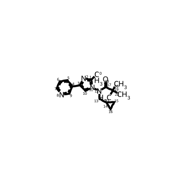 Cc1nc(-c2cccnc2)cn1N(CC1CC1)C(=O)C(C)(C)C